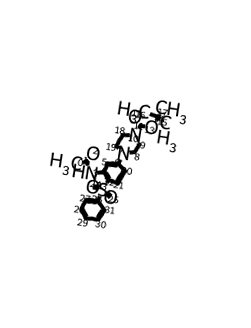 CC(=O)Nc1cc(N2CCN(C(=O)OC(C)(C)C)CC2)ccc1S(=O)(=O)c1ccccc1